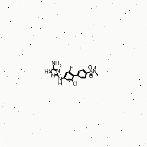 CN(C)S(=O)(=O)c1ccc(-c2c(F)cc(Nc3n[nH]c(N)n3)cc2Cl)cc1